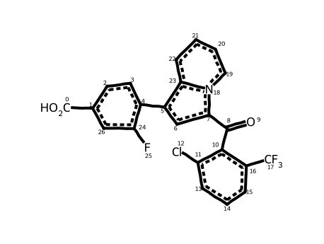 O=C(O)c1ccc(-c2cc(C(=O)c3c(Cl)cccc3C(F)(F)F)n3ccccc23)c(F)c1